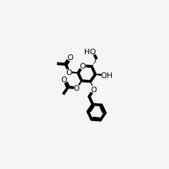 CC(=O)O[C@H]1O[C@H](CO)[C@@H](O)[C@H](OCc2ccccc2)[C@H]1OC(C)=O